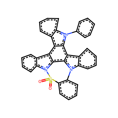 O=S1(=O)c2ccccc2-n2c3ccccc3c3c4c(c5ccccc5n4-c4ccccc4)c4c5ccccc5n1c4c32